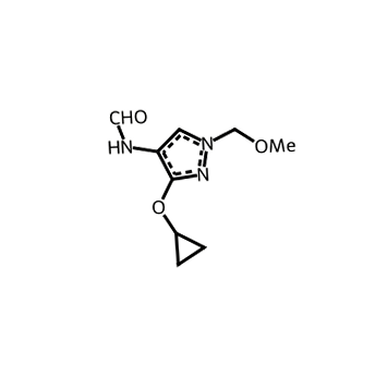 COCn1cc(NC=O)c(OC2CC2)n1